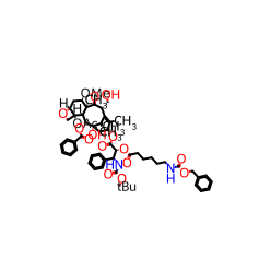 CO[C@H]1C[C@H]2OC[C@@]2(OC(C)=O)[C@H]2[C@H](OC(=O)c3ccccc3)[C@]3(O)C[C@H](OC(=O)[C@H](OC(=O)CCCCCNC(=O)OCc4ccccc4)[C@@H](NC(=O)OC(C)(C)C)c4ccccc4)C(C)=C([C@@H](CO)C(=O)[C@]12C)C3(C)C